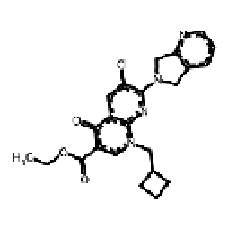 CCOC(=O)c1cn(CC2CCC2)c2nc(N3Cc4cccnc4C3)c(Cl)cc2c1=O